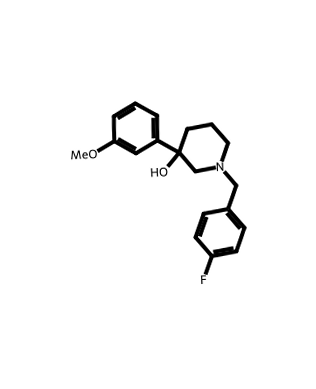 COc1cccc(C2(O)CCCN(Cc3ccc(F)cc3)C2)c1